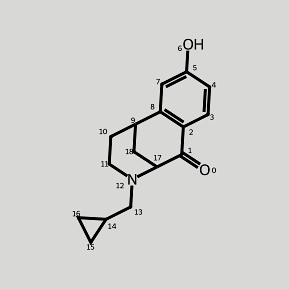 O=C1c2ccc(O)cc2C2CCN(CC3CC3)C1C2